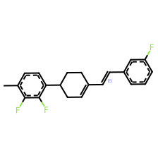 Cc1ccc(C2CC=C(/C=C/c3cccc(F)c3)CC2)c(F)c1F